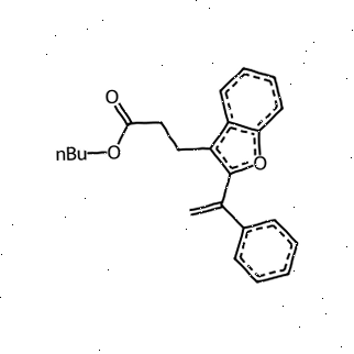 C=C(c1ccccc1)c1oc2ccccc2c1CCC(=O)OCCCC